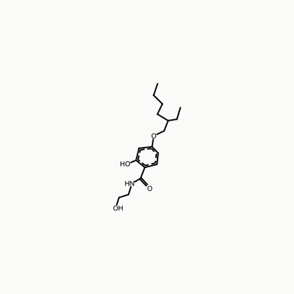 CCCCC(CC)COc1ccc(C(=O)NCCO)c(O)c1